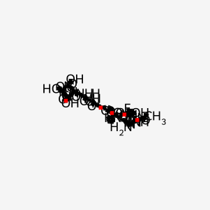 CCC(=O)NCCNC(=O)/N=C(/N)NCCC[C@@H](NC(=O)C(c1ccccc1)c1cccc(OCCCCNC(=O)CONC(=O)CCNC(O)CN2CCN(CC(=O)O)CCN(CC(=O)O)CCN(CC(=O)O)CC2)c1)C(=O)NCc1c(F)cc(O)cc1F